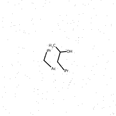 CC(=O)CC(C)C.CC(C)CC(C)O